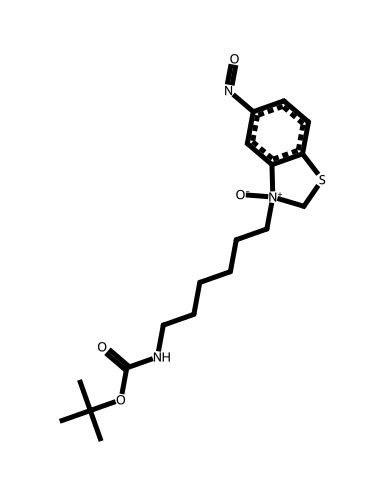 CC(C)(C)OC(=O)NCCCCCC[N+]1([O-])CSc2ccc(N=O)cc21